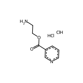 Cl.Cl.NCCOC(=O)c1cccnc1